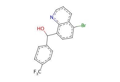 OC(c1ccc(C(F)(F)F)cc1)c1ccc(Br)c2cccnc12